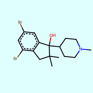 CN1CCC(C2(O)c3cc(Br)cc(Br)c3CC2(C)C)CC1